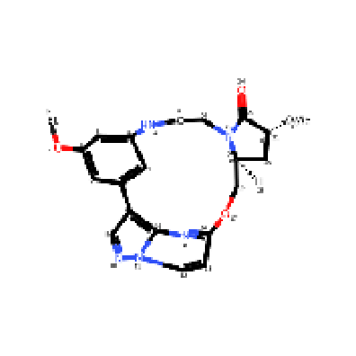 CCOc1cc2cc(c1)-c1cnn3ccc(nc13)OC[C@@H]1C[C@@H](OC)C(=O)N1CCN2